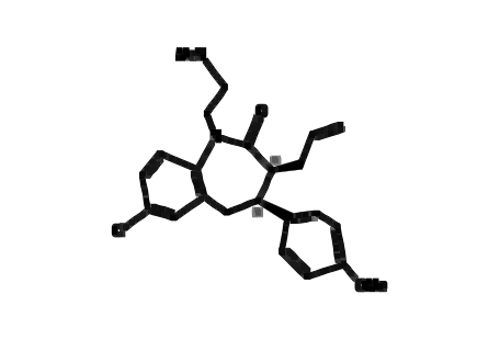 C=CC[C@@H]1C(=O)N(CCNC)c2ccc(Cl)cc2C[C@@H]1c1ccc(OC)cc1